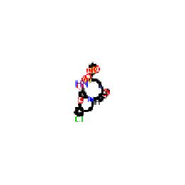 CO[C@H]1/C=C/CC[C@@H](CCS(=O)(=O)C(C)(C)C)S(=O)(=O)NC(=O)c2ccc3c(c2)N(CCCCc2cc(Cl)ccc2CO3)C[C@@H]2CC[C@H]21